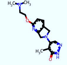 Cc1c(N2Cc3ccc(OCCN(C)C)nc3C2)cn[nH]c1=O